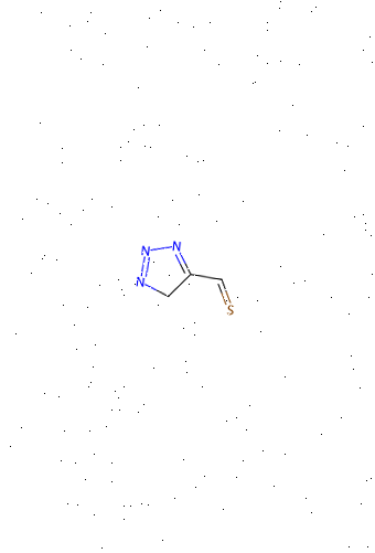 S=CC1=NN=NC1